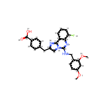 COc1ccc(CNc2nc3c(F)cccc3c3nc(Cc4ccc(C(=O)O)cc4)cn23)c(OC)c1